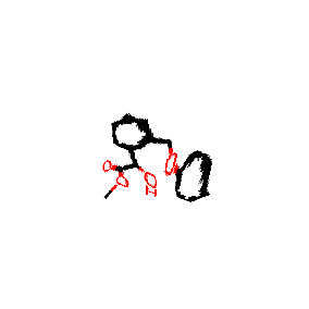 COC(=O)C(O)c1ccccc1COc1ccccc1